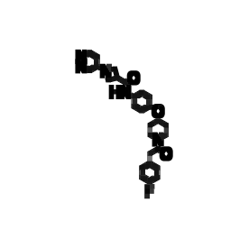 O=C(Nc1ccc(OC2CCN(C(=O)Cc3ccc(F)cc3)CC2)cc1)C1CN(c2ccnnc2)C1